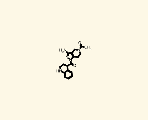 CC(=O)N1CCc2c(c(N)nn2C(=O)C2CCNc3ccccc32)C1